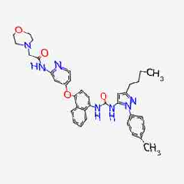 CCCCc1cc(NC(=O)Nc2ccc(Oc3ccnc(NC(=O)CN4CCOCC4)c3)c3ccccc23)n(-c2ccc(C)cc2)n1